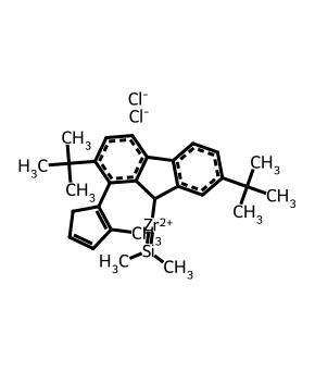 CC1=C(c2c(C(C)(C)C)ccc3c2[CH]([Zr+2]=[Si](C)C)c2cc(C(C)(C)C)ccc2-3)CC=C1.[Cl-].[Cl-]